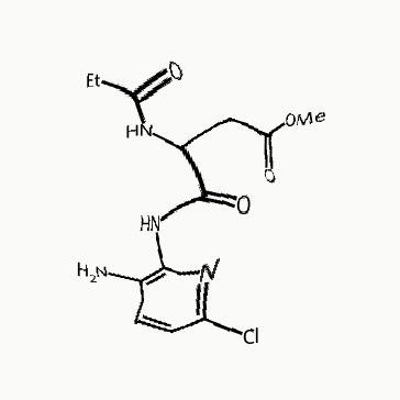 CCC(=O)NC(CC(=O)OC)C(=O)Nc1nc(Cl)ccc1N